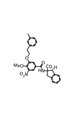 COc1c(OCCc2cccc(C)c2)cc(C(=O)NC2(C(=O)O)Cc3ccccc3C2)cc1[N+](=O)[O-]